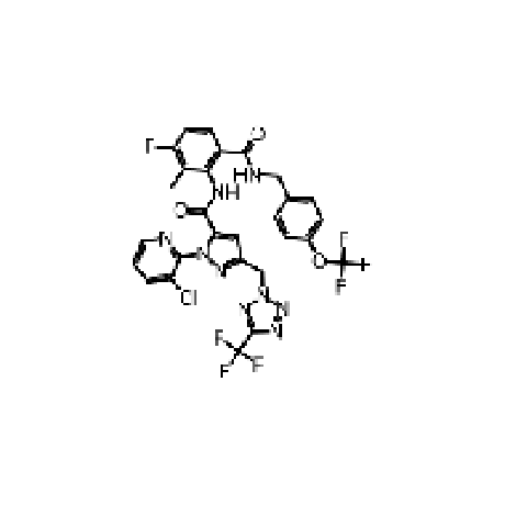 Cc1c(F)ccc(C(=O)NCc2ccc(OC(F)(F)F)cc2)c1NC(=O)c1cc(Cn2nnc(C(F)(F)F)n2)nn1-c1ncccc1Cl